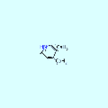 C1=CCNC=C1.[CaH2].[CaH2]